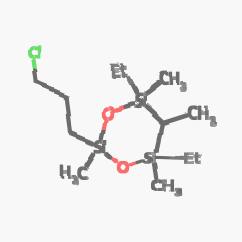 CC[Si]1(C)O[Si](C)(CCCCl)O[Si](C)(CC)C1C